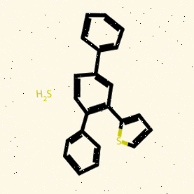 S.c1ccc(-c2ccc(-c3ccccc3)c(-c3cccs3)c2)cc1